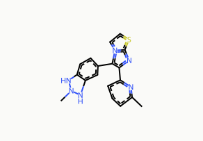 Cc1cccc(-c2nc3sccn3c2-c2ccc3c(c2)NN(C)N3)n1